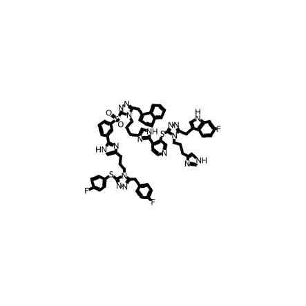 O=S(=O)(c1cccc(-c2nc(CCCn3c(Cc4ccc(F)cc4)nnc3Sc3ccc(F)cc3)c[nH]2)c1)c1nnc(Cc2cccc3ccccc23)n1CCCc1c[nH]c(-c2ccncc2Sc2nnc(Cc3c[nH]c4cc(F)ccc34)n2CCCc2c[nH]cn2)n1